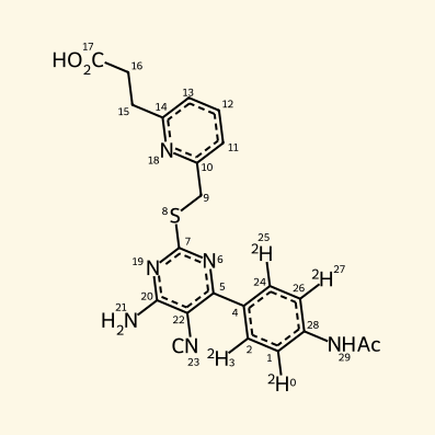 [2H]c1c([2H])c(-c2nc(SCc3cccc(CCC(=O)O)n3)nc(N)c2C#N)c([2H])c([2H])c1NC(C)=O